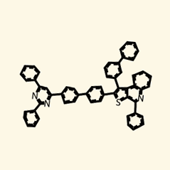 c1ccc(-c2cccc(-c3c(-c4ccc(-c5ccc(-c6cc(-c7ccccc7)nc(-c7ccccc7)n6)cc5)cc4)sc4c(-c5ccccc5)nc5ccccc5c34)c2)cc1